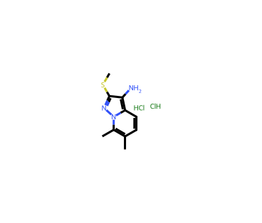 CSc1nn2c(C)c(C)ccc2c1N.Cl.Cl